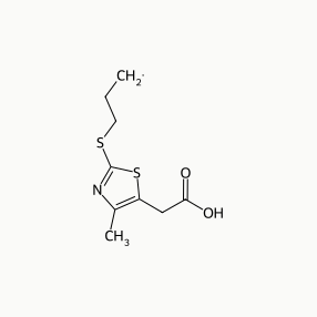 [CH2]CCSc1nc(C)c(CC(=O)O)s1